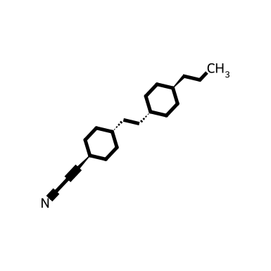 CCC[C@H]1CC[C@H](CC[C@H]2CC[C@H](C#CC#N)CC2)CC1